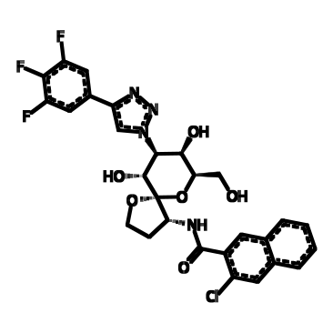 O=C(N[C@@H]1CCO[C@]12O[C@H](CO)[C@H](O)[C@H](n1cc(-c3cc(F)c(F)c(F)c3)nn1)[C@H]2O)c1cc2ccccc2cc1Cl